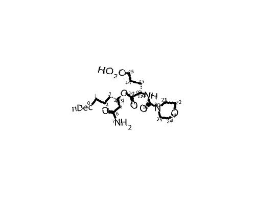 CCCCCCCCCCCCC[C@@H](CC(N)=O)OC(=O)[C@H](CCCC(=O)O)NC(=O)N1CCOCC1